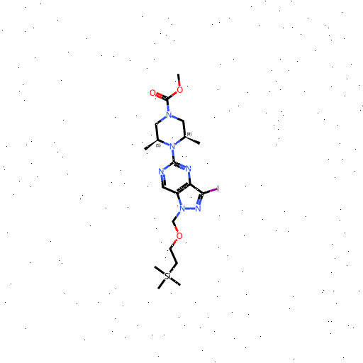 COC(=O)N1C[C@@H](C)N(c2ncc3c(n2)c(I)nn3COCC[Si](C)(C)C)[C@@H](C)C1